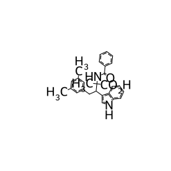 Cc1cc(C)cc(CC(c2c[nH]c3ccccc23)C(C)(NC(=O)c2ccccc2)C(=O)O)c1